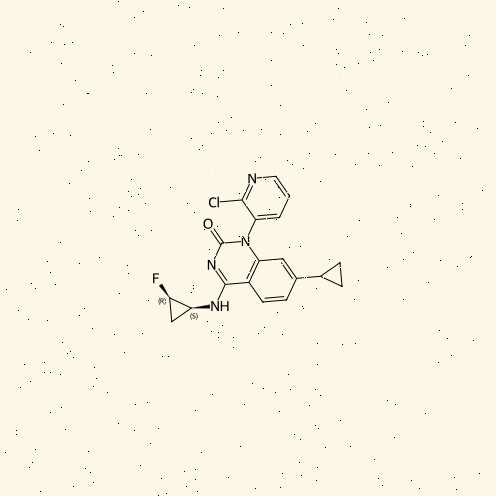 O=c1nc(N[C@H]2C[C@H]2F)c2ccc(C3CC3)cc2n1-c1cccnc1Cl